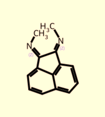 C/N=C1\C(=N/C)c2cccc3cccc1c23